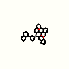 c1cc(-c2cccc3ccccc23)cc(N(c2ccc3ccccc3c2)c2ccccc2-c2cccc3cccc(C4CCCCC4)c23)c1